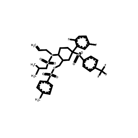 C=CCN(C1CCC(c2cc(F)ccc2F)(S(=O)(=O)c2ccc(C(F)(F)F)cc2)CC1COS(=O)(=O)c1ccc(C)cc1)S(=O)(=O)CC(C)C